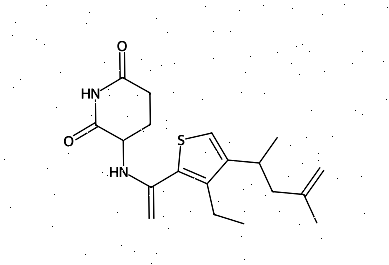 C=C(C)CC(C)c1csc(C(=C)NC2CCC(=O)NC2=O)c1CC